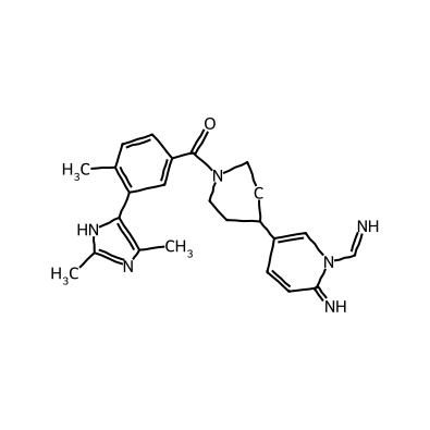 Cc1nc(C)c(-c2cc(C(=O)N3CCC(c4ccc(=N)n(C=N)c4)CC3)ccc2C)[nH]1